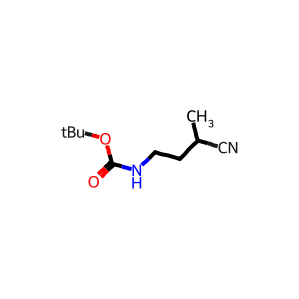 CC(C#N)CCNC(=O)OC(C)(C)C